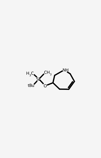 CC(C)(C)[Si](C)(C)OC1CC=CCNC1